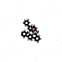 c1ccc(-c2ccnc(-n3c4ccccc4c4ccc5c6ccccc6c6nc7ccccc7n6c5c43)c2)cc1